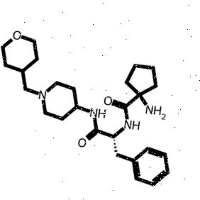 NC1(C(=O)N[C@H](Cc2ccccc2)C(=O)NC2CCN(CC3CCOCC3)CC2)CCCC1